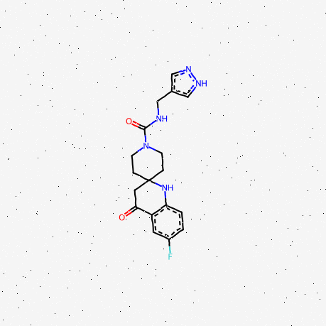 O=C1CC2(CCN(C(=O)NCc3cn[nH]c3)CC2)Nc2ccc(F)cc21